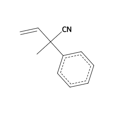 C=CC(C)(C#N)c1ccccc1